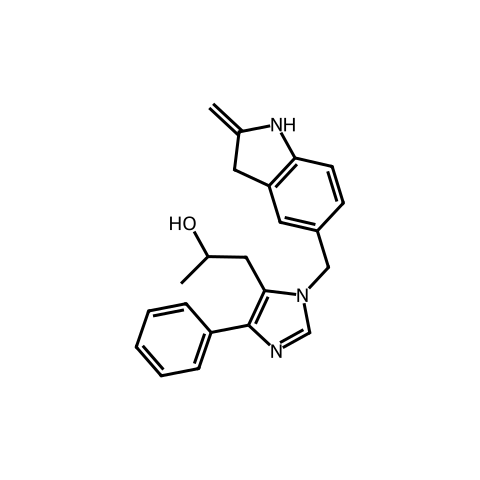 C=C1Cc2cc(Cn3cnc(-c4ccccc4)c3CC(C)O)ccc2N1